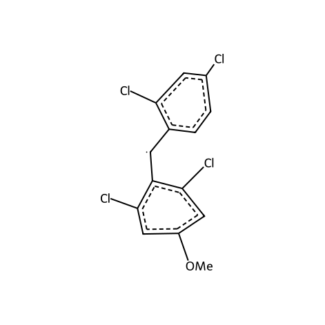 COc1cc(Cl)c([CH]c2ccc(Cl)cc2Cl)c(Cl)c1